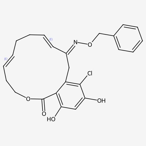 O=C1OCC/C=C/CC/C=C/C(=NOCc2ccccc2)Cc2c(Cl)c(O)cc(O)c21